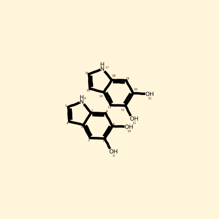 Oc1cc2cc[nH]c2cc1O.Oc1cc2cc[nH]c2cc1O